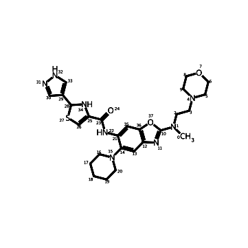 CN(CCN1CCOCC1)c1nc2cc(N3CCCCC3)c(NC(=O)C3=CSC(c4cn[nH]c4)N3)cc2o1